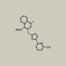 COc1c(Cc2ccc(-c3cccc(C#N)n3)s2)cc(C)c2ccccc12